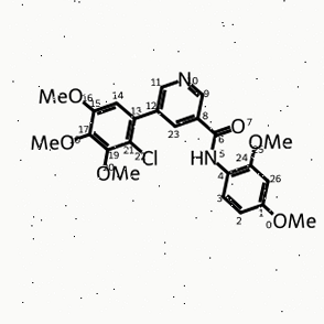 COc1ccc(NC(=O)c2cncc(-c3cc(OC)c(OC)c(OC)c3Cl)c2)c(OC)c1